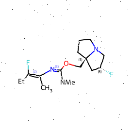 CC/C(F)=C(C)/N=C(\NC)OC[C@@]12CCCN1C[C@H](F)C2